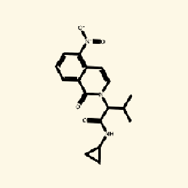 CC(C)C(C(=O)NC1CC1)n1ccc2c([N+](=O)[O-])cccc2c1=O